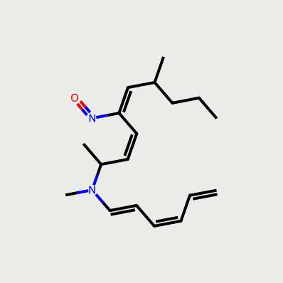 C=C/C=C\C=C\N(C)C(C)/C=C\C(=C/C(C)CCC)N=O